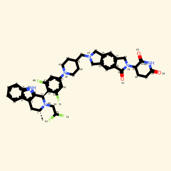 C[C@@H]1Cc2c([nH]c3ccccc23)[C@@H](c2c(F)cc(N3CCC(CN4Cc5cc6c(cc5C4)C(=O)N(C4CCC(=O)NC4=O)C6)CC3)cc2F)N1CC(F)F